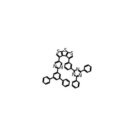 c1ccc(-c2cc(-c3ccccc3)cc(-c3ncc(-c4csc5sc6scc(-c7cccc(-c8nc(-c9ccccc9)nc(-c9ccccc9)n8)c7)c6c45)cn3)c2)cc1